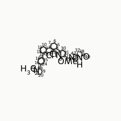 COc1nc(-c2cccc(-c3cccc(-c4ccc(C5CCCN5C)cc4)c3Cl)c2Cl)ccc1CN1CC2(CCC(=O)N2)C1